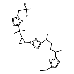 CCc1ccn(C(C)CCC(C)c2ccn(C3CC3C(C)(C)c3ccn(CC(F)(F)F)n3)n2)n1